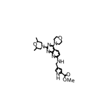 COC(=O)c1cc(CNc2ccc3c(N4CCOCC4)nc(N4CC(C)OC(C)C4)nc3n2)c[nH]1